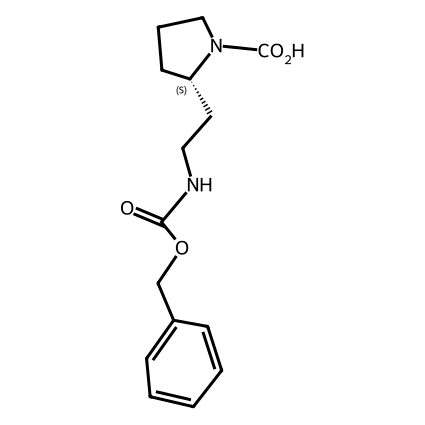 O=C(NCC[C@@H]1CCCN1C(=O)O)OCc1ccccc1